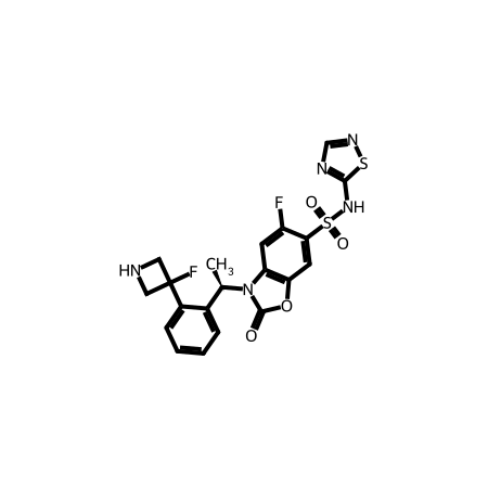 C[C@H](c1ccccc1C1(F)CNC1)n1c(=O)oc2cc(S(=O)(=O)Nc3ncns3)c(F)cc21